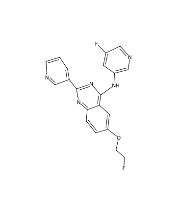 FCCOc1ccc2nc(-c3cccnc3)nc(Nc3cncc(F)c3)c2c1